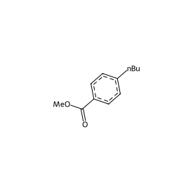 C[CH]CCc1ccc(C(=O)OC)cc1